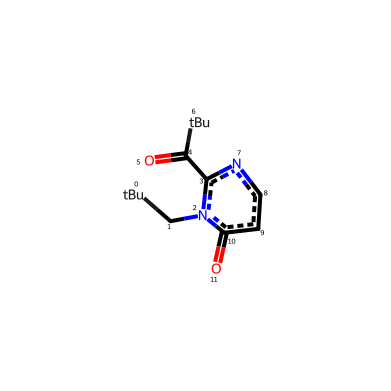 CC(C)(C)Cn1c(C(=O)C(C)(C)C)nccc1=O